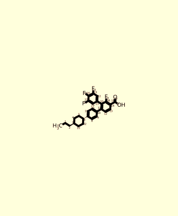 CCC[C@H]1CC[C@H](c2ccc(-c3ccc(C(=O)O)c(F)c3-c3cc(F)c(F)c(F)c3)cc2)CC1